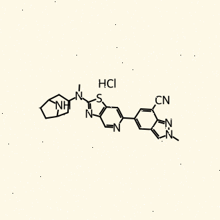 CN(c1nc2cnc(-c3cc(C#N)c4nn(C)cc4c3)cc2s1)C1CC2CCC(C1)N2.Cl